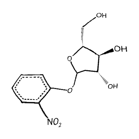 O=[N+]([O-])c1ccccc1OC1O[C@H](CO)[C@@H](O)[C@@H]1O